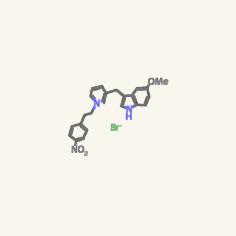 COc1ccc2[nH]cc(Cc3ccc[n+](CCc4ccc([N+](=O)[O-])cc4)c3)c2c1.[Br-]